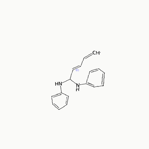 [CH]=C/C=C/C(Nc1ccccc1)Nc1ccccc1